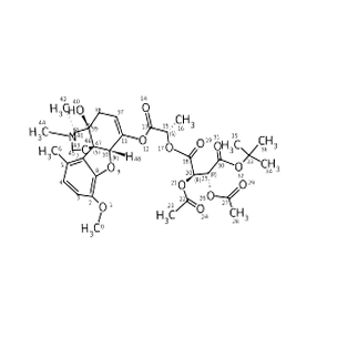 COc1ccc(C)c2c1O[C@H]1C(OC(=O)[C@H](C)OC(=O)[C@H](OC(C)=O)[C@@H](OC(C)=O)C(=O)OC(C)(C)C)=CC[C@@]3(O)[C@@H](C)N(C)CC[C@]213